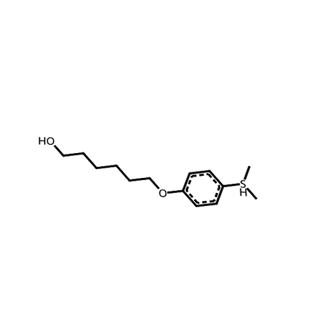 C[SH](C)c1ccc(OCCCCCCO)cc1